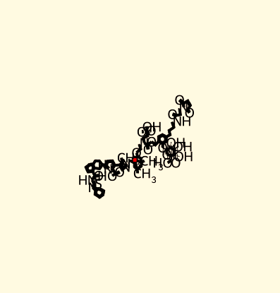 Cc1c(-c2ccc(N3CCc4cccc(C(=O)Nc5nc6ccccc6s5)c4C3)nc2C(=O)O)cnn1CC12CC3(C)CC(C)(C1)CC(OCCN(CCS(=O)(=O)O)C(=O)OCc1ccc(CCCCNC(=O)CCN4C(=O)C=CC4=O)cc1O[C@@H]1O[C@H](C(=O)O)[C@@H](O)[C@H](O)[C@H]1O)(C3)C2